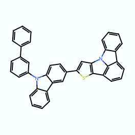 c1ccc(-c2cccc(-n3c4ccccc4c4cc(-c5cc6c(s5)c5cccc7c8ccccc8n6c75)ccc43)c2)cc1